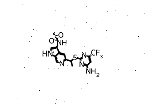 CC(Sc1nc(N)cc(C(F)(F)F)n1)c1cc2c(NS(C)(=O)=O)c[nH]c2cn1